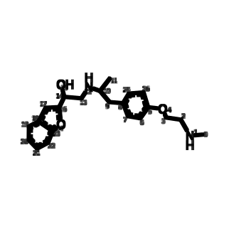 CNCCOc1ccc(CC(C)NCC(O)c2cc3ccccc3o2)cc1